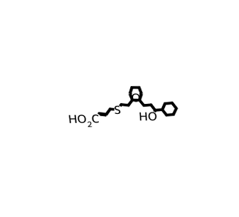 O=C(O)C=CCSCCC1C2CCC(O2)C1CCC(O)C1CCCCC1